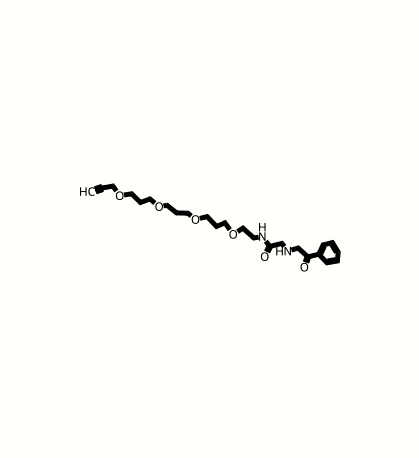 C#CCOCCCOCCCOCCCOCCNC(=O)CNCC(=O)c1ccccc1